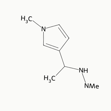 CNNC(C)c1ccn(C)c1